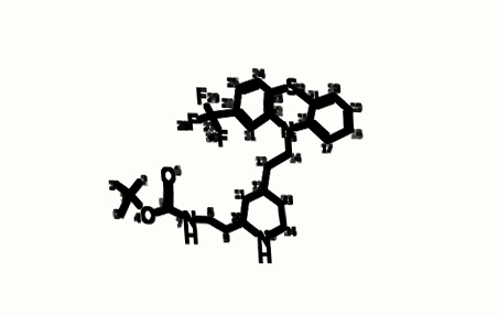 CC(C)(C)OC(=O)NCCC1CC(CCN2c3ccccc3Sc3ccc(C(F)(F)F)cc32)CCN1